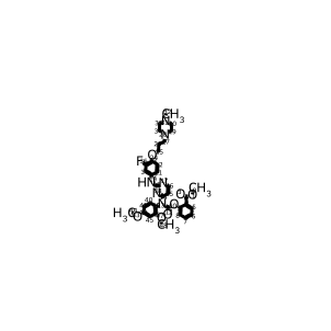 COC(=O)c1ccccc1OC(=O)N(c1ccnc(Nc2ccc(OCCCN3CCN(C)CC3)c(F)c2)n1)c1ccc(OC)cc1OC